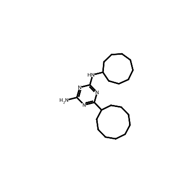 Nc1nc(NC2CCCCCCCC2)nc(C2CCCCCCCCC2)n1